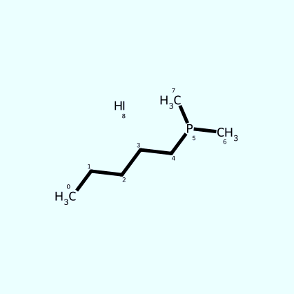 CCCCCP(C)C.I